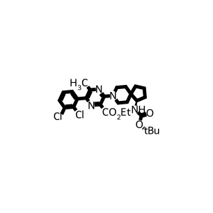 CCOC(=O)c1nc(-c2cccc(Cl)c2Cl)c(C)nc1N1CCC2(CCC[C@H]2NC(=O)OC(C)(C)C)CC1